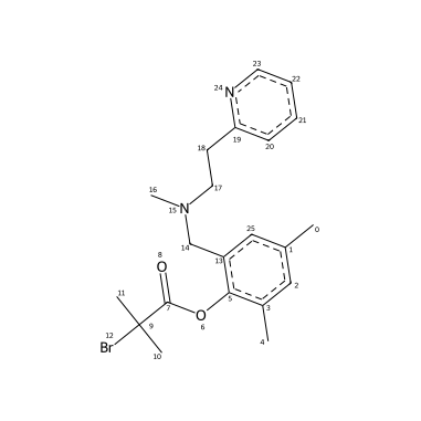 Cc1cc(C)c(OC(=O)C(C)(C)Br)c(CN(C)CCc2ccccn2)c1